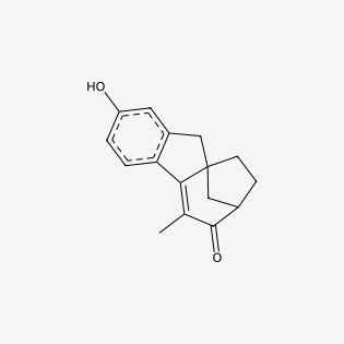 CC1=C2c3ccc(O)cc3CC23CCC(C3)C1=O